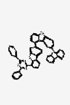 c1ccc(-c2nc(-c3ccccc3)nc(-c3cccc4c3sc3cc(-c5cccc6oc7ccc(-n8c9ccccc9c9ccccc98)cc7c56)ccc34)n2)cc1